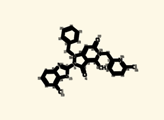 Cc1c2c(=O)n(-c3nc4cccc(Cl)c4s3)n(Cc3ccccc3)c2cc(=O)n1Cc1cccc(Cl)n1